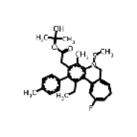 CCc1c2c(c(C)c(CC(=O)OC(C)(C)O)c1-c1ccc(C)cc1)N(SC)CC1=CCC=C(F)C=C12